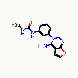 CCCCNC(=O)Nc1cccc(N2CN=c3occc3=C2N)c1